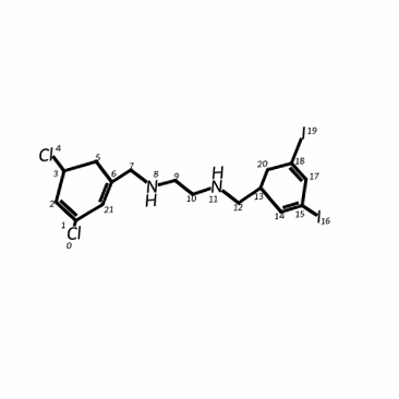 ClC1=CC(Cl)CC(CNCCNCC2C=C(I)C=C(I)C2)=C1